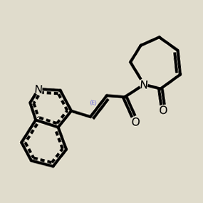 O=C1C=CCCCN1C(=O)/C=C/c1cncc2ccccc12